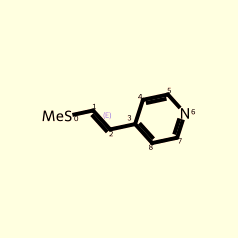 CS/C=C/c1ccncc1